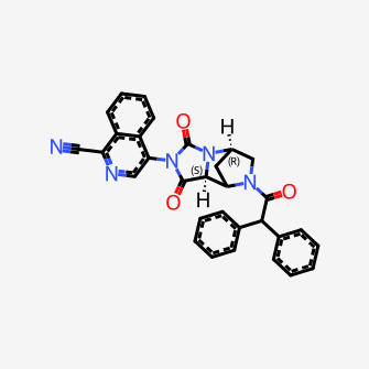 N#Cc1ncc(N2C(=O)[C@@H]3C4C[C@H](CN4C(=O)C(c4ccccc4)c4ccccc4)N3C2=O)c2ccccc12